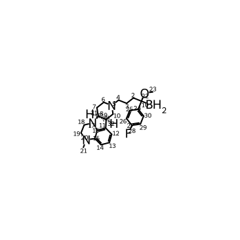 BC(CCCN1CC[C@H]2[C@@H](C1)c1cccc3c1N2CCN3C)(OC)c1ccc(F)cc1